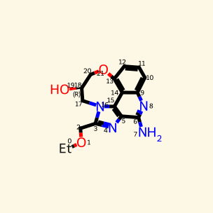 CCOCc1nc2c(N)nc3cccc4c3c2n1C[C@@H](O)CO4